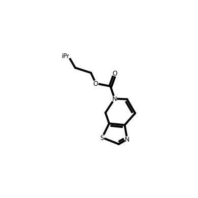 CC(C)CCOC(=O)N1C=Cc2ncsc2C1